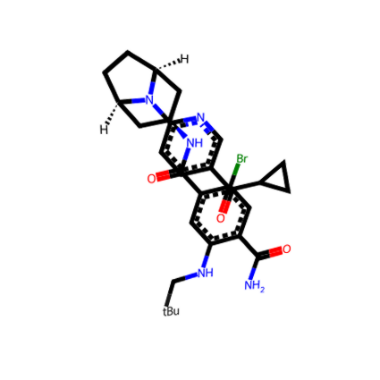 CC(C)(C)CNc1cc(C(=O)N[C@H]2C[C@H]3CC[C@@H](C2)N3c2ccc(C(=O)C3CC3)cn2)c(Br)cc1C(N)=O